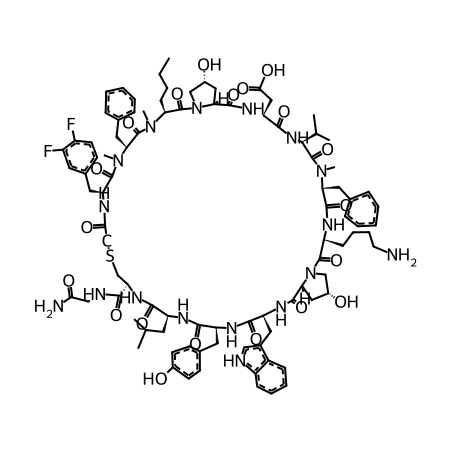 CCCC[C@H]1C(=O)N2C[C@H](O)C[C@@H]2C(=O)N[C@@H](CC(=O)O)C(=O)N[C@@H](C(C)C)C(=O)N(C)[C@@H](Cc2ccccc2)C(=O)N[C@@H](CCCCN)C(=O)N2C[C@H](O)C[C@@H]2C(=O)N[C@@H](Cc2c[nH]c3ccccc23)C(=O)N[C@@H](Cc2ccc(O)cc2)C(=O)N[C@@H](CC(C)C)C(=O)N[C@H](C(=O)NCC(N)=O)CSCC(=O)N[C@@H](Cc2ccc(F)c(F)c2)C(=O)N(C)[C@@H](Cc2ccccc2)C(=O)N1C